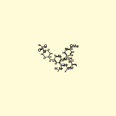 C=C(N)/N=C(C)\N=C(/N)c1cc(CC2CCN(S(C)(=O)=O)CC2)cnc1Nc1ccc(OC)nc1